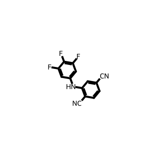 N#Cc1ccc(C#N)c(Nc2cc(F)c(F)c(F)c2)c1